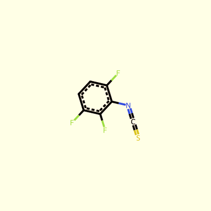 Fc1ccc(F)c(N=C=S)c1F